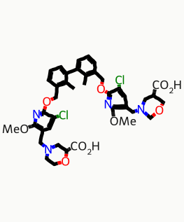 COc1nc(OCc2cccc(-c3cccc(COc4nc(OC)c(CN5CCOC(C(=O)O)C5)cc4Cl)c3C)c2C)c(Cl)cc1CN1COCC(C(=O)O)C1